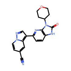 N#Cc1ccn2ncc(-c3ccc4[nH]c(=O)n(C5CCOCC5)c4n3)c2c1